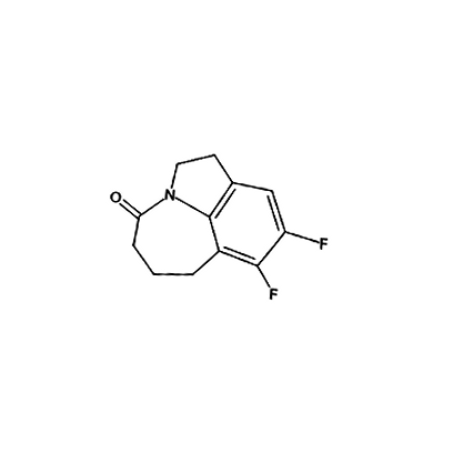 O=C1CCCc2c(F)c(F)cc3c2N1CC3